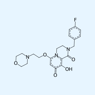 O=C1c2c(O)c(=O)cc(OCCN3CCOCC3)n2CCN1Cc1ccc(F)cc1